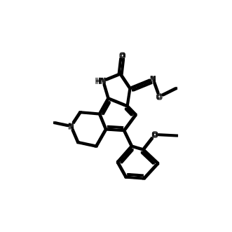 CO/N=C1/C(=O)Nc2c1cc(-c1ccccc1OC)c1c2CN(C)CC1